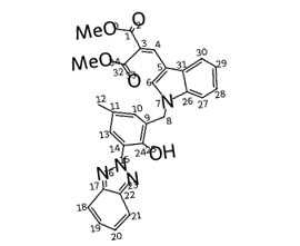 COC(=O)C(=Cc1cn(Cc2cc(C)cc(-n3nc4ccccc4n3)c2O)c2ccccc12)C(=O)OC